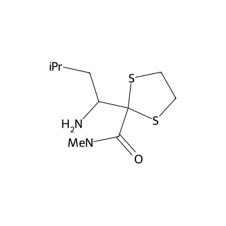 CNC(=O)C1(C(N)CC(C)C)SCCS1